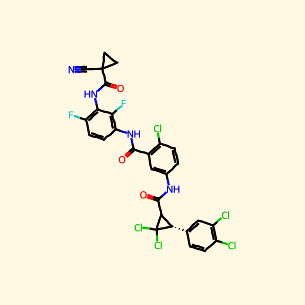 N#CC1(C(=O)Nc2c(F)ccc(NC(=O)c3cc(NC(=O)C4[C@H](c5ccc(Cl)c(Cl)c5)C4(Cl)Cl)ccc3Cl)c2F)CC1